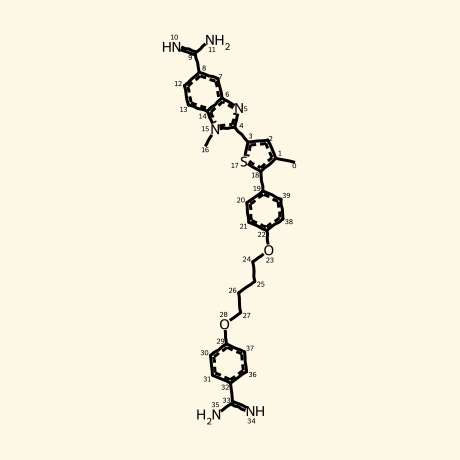 Cc1cc(-c2nc3cc(C(=N)N)ccc3n2C)sc1-c1ccc(OCCCCOc2ccc(C(=N)N)cc2)cc1